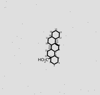 O=C(O)C12CCCCC1C1CC=C3C4CCCCC4CCC3C1CC2